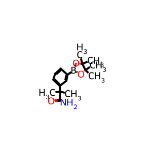 CC(C)(C(N)=O)c1cccc(B2OC(C)(C)C(C)(C)O2)c1